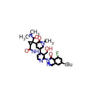 CN(C)C(=O)C1(c2cc(-c3ccnc(-n4ncc5cc(C(C)(C)C)cc(F)c5c4=O)c3CO)cn(C)c2=O)CC1C(N)=O